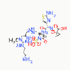 CN(CC(=N)/C=N\NC[C@@H]1[C@H](NC(=O)/C(=N\OC2(C(=O)O)CC2)c2csc(N)n2)C(=O)N1S(=O)(=O)O)C(=N)NCCCN